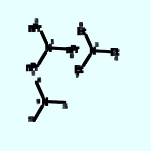 CCCN(CCC)CCC.CCN(CC)CC.CN(C)C